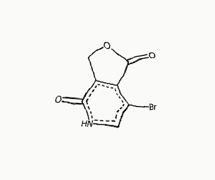 O=C1OCc2c1c(Br)c[nH]c2=O